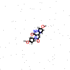 COc1ccc(C2CC(=O)N(c3ccc(OC)cc3)C2C(N)=O)cc1